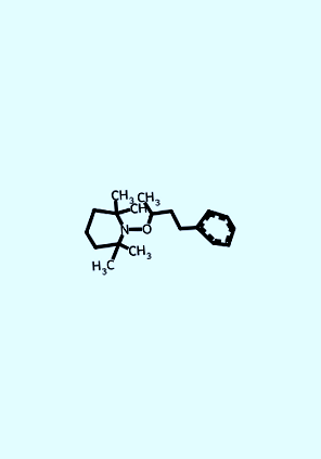 CC(CCc1ccccc1)ON1C(C)(C)CCCC1(C)C